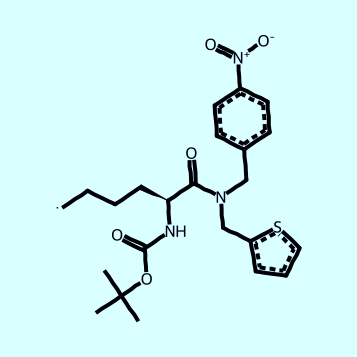 [CH2]CCC[C@H](NC(=O)OC(C)(C)C)C(=O)N(Cc1ccc([N+](=O)[O-])cc1)Cc1cccs1